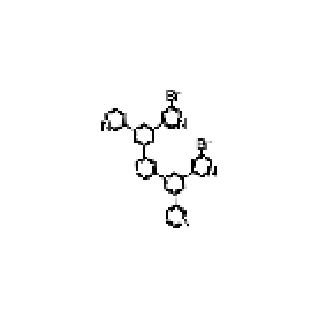 Brc1cncc(-c2cc(-c3cccnc3)cc(-c3cccc(-c4cc(-c5cccnc5)cc(-c5cncc(Br)c5)c4)c3)c2)c1